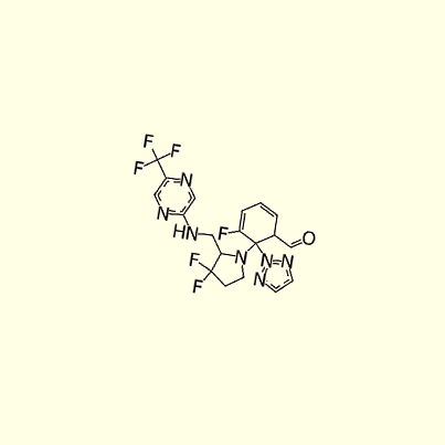 O=CC1C=CC=C(F)C1(N1CCC(F)(F)C1CNc1cnc(C(F)(F)F)cn1)n1nccn1